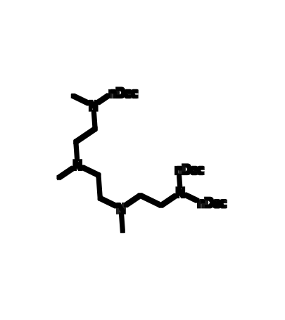 CCCCCCCCCCN(C)CCN(C)CCN(C)CCN(CCCCCCCCCC)CCCCCCCCCC